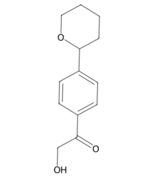 O=C(CO)c1ccc(C2CCCCO2)cc1